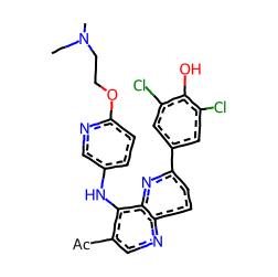 CC(=O)c1cnc2ccc(-c3cc(Cl)c(O)c(Cl)c3)nc2c1Nc1ccc(OCCN(C)C)nc1